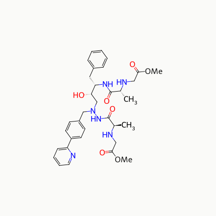 COC(=O)CN[C@H](C)C(=O)N[C@@H](Cc1ccccc1)[C@@H](O)CN(Cc1ccc(-c2ccccn2)cc1)NC(=O)[C@@H](C)NCC(=O)OC